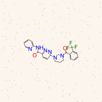 O=C(Nc1ccccn1)c1ccc(N2CCCN(C(=O)c3ccccc3C(F)(F)F)C2)nn1